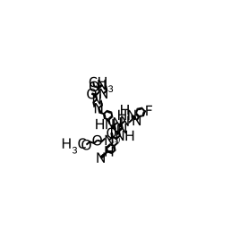 COCCOCCNC(=O)[C@H](Cc1ccc(C#N)cc1)Nc1nc(NCc2nc3cc(F)ccc3[nH]2)nc(Nc2cccc(CN3CCN(C(=O)c4nccnc4OC)CC3)c2)n1